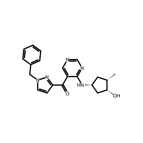 C[C@H]1C[C@@H](Nc2ncncc2C(=O)c2ccn(Cc3ccccc3)n2)C[C@H]1O